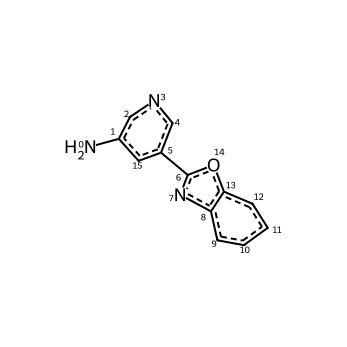 Nc1cncc(-c2nc3ccccc3o2)c1